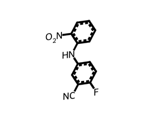 N#Cc1cc(Nc2ccccc2[N+](=O)[O-])ccc1F